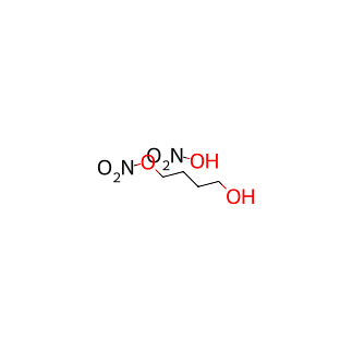 O=[N+]([O-])O.O=[N+]([O-])OCCCCO